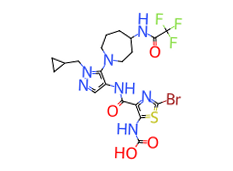 O=C(O)Nc1sc(Br)nc1C(=O)Nc1cnn(CC2CC2)c1N1CCCC(NC(=O)C(F)(F)F)CC1